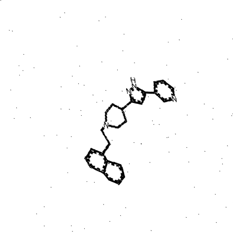 c1cncc(-c2cc(C3CCN(CCc4cccc5ccccc45)CC3)n[nH]2)c1